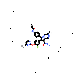 C=CC(=O)Nc1ccc(-c2c(-c3ccc(Oc4nccc(C)n4)c(F)c3)c(C(N)=O)c3cnc(C)cn23)cc1